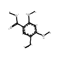 CCc1cc(C(=O)OC)c(OC)cc1OC